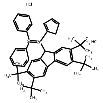 CC(C)(C)c1cc2c(cc1C(C)(C)C)[CH]([Zr]([C]1=CC=CC1)=[Si](c1ccccc1)c1ccccc1)c1cc(C(C)(C)C)c(C(C)(C)C)cc1-2.Cl.Cl